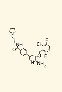 Nc1ncc(-c2ccc(C(=O)NCCCN3CCCC3)cc2)cc1OCc1c(F)ccc(F)c1Cl